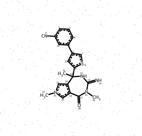 [C-]#[N+]c1cccc(-c2csc(C3(C)NC(=N)N(C)C(=O)c4cn(C)cc43)c2)c1